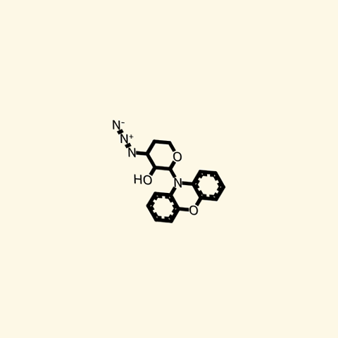 [N-]=[N+]=NC1CCOC(N2c3ccccc3Oc3ccccc32)C1O